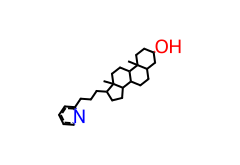 CC12CCC3C(CCC4CC(O)CCC43C)C1CCC2CCCc1ccccn1